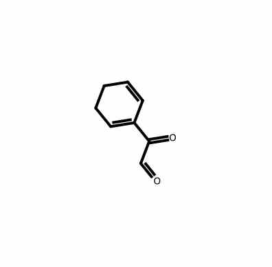 O=CC(=O)C1=CCCC=C1